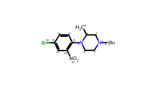 CC1CN(C(C)(C)C)CCN1c1ccc(Br)cc1[N+](=O)[O-]